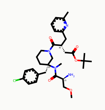 COC[C@H](N)C(=O)N(C)[C@@]1(Cc2ccc(Cl)cc2)CCCN(C(=O)[C@@H](CC(=O)OC(C)(C)C)Cc2cccc(C)n2)C1